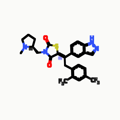 CN1CCC[C@H]1CN1C(=O)S/C(=C(/Cc2ccc(C(F)(F)F)cc2C(F)(F)F)c2ccc3[nH]ncc3c2)C1=O